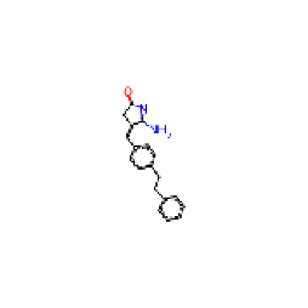 NC1=NC(=O)CC1=Cc1ccc(CCc2ccccc2)cc1